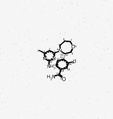 Cc1cc(N2CCCOC[C@@H]2c2ccc(C(N)=O)cc2Cl)nc(N)n1